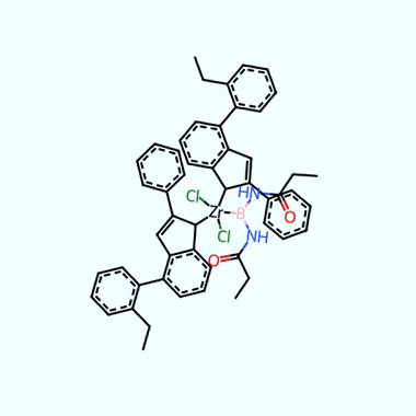 CCC(=O)N[B](NC(=O)CC)[Zr]([Cl])([Cl])([CH]1C(c2ccccc2)=Cc2c(-c3ccccc3CC)cccc21)[CH]1C(c2ccccc2)=Cc2c(-c3ccccc3CC)cccc21